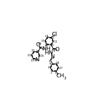 Cc1ccc(C=NNC(=O)c2cc(Cl)ccc2NC(=O)c2cccnc2)cc1